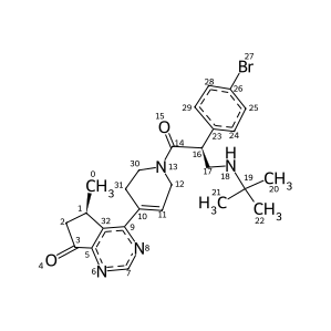 C[C@@H]1CC(=O)c2ncnc(C3=CCN(C(=O)[C@H](CNC(C)(C)C)c4ccc(Br)cc4)CC3)c21